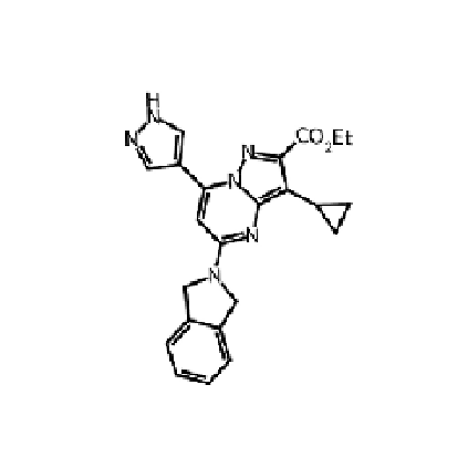 CCOC(=O)c1nn2c(-c3cn[nH]c3)cc(N3Cc4ccccc4C3)nc2c1C1CC1